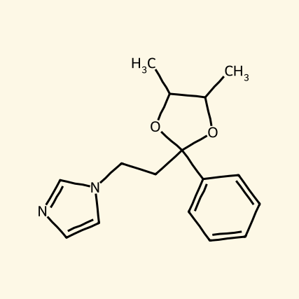 CC1OC(CCn2ccnc2)(c2ccccc2)OC1C